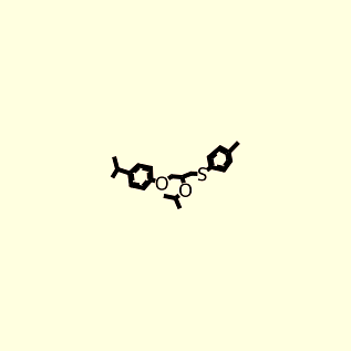 Cc1ccc(SCC(COc2ccc(C(C)C)cc2)OC(C)C)cc1